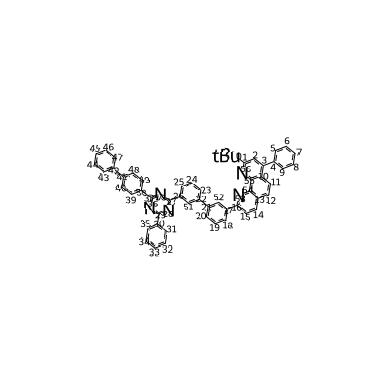 CC(C)(C)c1cc(-c2ccccc2)c2ccc3ccc(-c4cccc(-c5cccc(-c6nc(-c7ccccc7)nc(-c7ccc(-c8ccccc8)cc7)n6)c5)c4)nc3c2n1